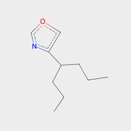 CCCC(CCC)c1cocn1